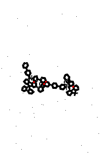 CC1(C)c2ccccc2-c2c(N(c3ccc(-c4ccc(-c5ccc6oc7c(-c8ccc9c(c8)C(c8ccccc8)(c8ccccc8)c8cccc(N(c%10ccc(-c%11ccccc%11)cc%10)c%10ccc(-c%11ccccc%11)cc%10)c8-9)cccc7c6c5)cc4)cc3)c3cccc4c3oc3ccccc34)cccc21